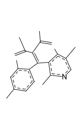 C=C(C)C(C(=C)C)=C(c1ccc(C)cc1C)c1c(C)ncc(C)c1C